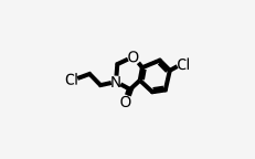 O=C1c2ccc(Cl)cc2OCN1CCCl